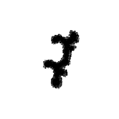 c1ccc(-c2cc(N(c3ccc(-c4ccc5ccccc5c4)cc3)c3ccc(-c4ccc5ccccc5c4)cc3)ccc2-c2ccc(-c3ccc(-c4cccc5cc(-c6ccc(N(c7ccc(-c8ccc9ccccc9c8)cc7)c7ccc(-c8ccc(-c9cccc%10ccccc9%10)cc8)c(-c8ccccc8)c7)cc6)ccc45)cc3)cc2)cc1